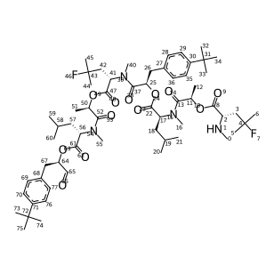 CN[C@@H](CC(C)(C)F)C(=O)O[C@H](C)C(=O)N(C)[C@@H](CC(C)C)C(=O)O[C@H](Cc1ccc(C(C)(C)C)cc1)C(=O)N(C)[C@@H](CC(C)(C)F)C(=O)O[C@H](C)C(=O)N(C)[C@@H](CC(C)C)C(=O)O[C@@H](C=O)Cc1ccc(C(C)(C)C)cc1